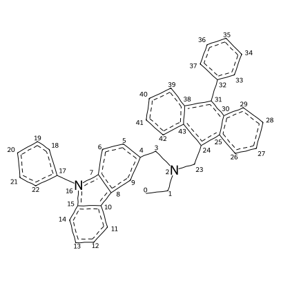 CCN(Cc1ccc2c(c1)c1ccccc1n2-c1ccccc1)Cc1c2ccccc2c(-c2ccccc2)c2ccccc12